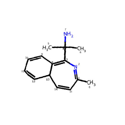 CC1=NC(C(C)(C)N)=C2C=CC=CC2C=C1